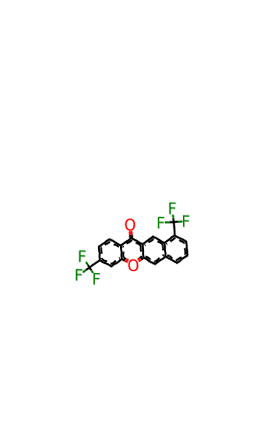 O=c1c2ccc(C(F)(F)F)cc2oc2cc3cccc(C(F)(F)F)c3cc12